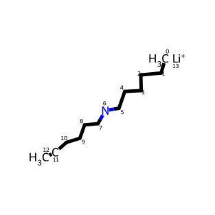 CCCCCC[N-]CCCCCC.[Li+]